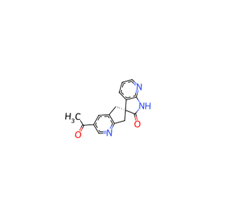 CC(=O)c1cnc2c(c1)C[C@@]1(C2)C(=O)Nc2ncccc21